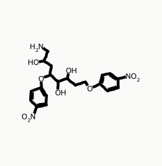 NCC(O)CC(Oc1ccc([N+](=O)[O-])cc1)C(O)C(O)CCOc1ccc([N+](=O)[O-])cc1